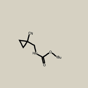 CC(C)(C)OC(=O)NCC1(C#N)CC1